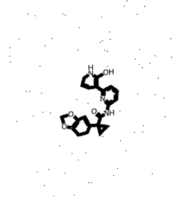 O=C(Nc1cccc(C2=C(O)NCC=C2)n1)C1(C2=CC3=C(CC2)OCO3)CC1